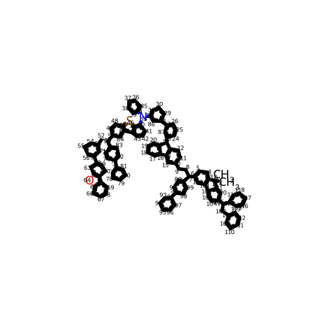 CC1(C)c2ccc(C(CCc3ccc4c(c3)-c3ccccc3C4c3cccc(-c4cccc(N(c5ccccc5)c5cccc6c5sc5ccc([C@@H](Cc7cccc(-c8ccc9c(c8)oc8ccccc89)c7)c7ccc(-c8ccccc8)cc7)cc56)c4)c3)c3ccc(-c4ccccc4)cc3)cc2-c2ccc(C(Cc3ccccc3)c3ccccc3)cc21